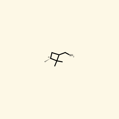 C[C@@H]1CC(CN)C1(C)C